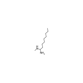 CCCCCCCCC(N)NC